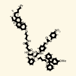 COc1ccc(C(NCCCC[C@H](NC(=O)[C@H](Cc2ccccc2)NC(=O)CCC(=O)NCCCO[C@H]2CC[C@@]3(C)C(=CCC4[C@@H]5CC[C@H]([C@H](C)CCCC(C)C)[C@@]5(C)CC[C@@H]43)C2)C(=O)Nc2ccc(COC(=O)Oc3ccc([N+](=O)[O-])cc3)cc2)(c2ccccc2)c2ccccc2)cc1